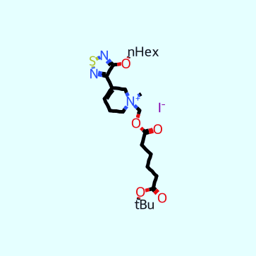 CCCCCCOc1nsnc1C1=CCC[N+](C)(COC(=O)CCCCC(=O)OC(C)(C)C)C1.[I-]